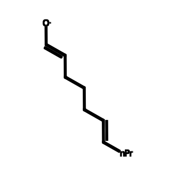 CCCC=CCCCC=C[O]